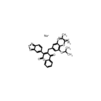 CC(C)Oc1cc(CC(C(=O)c2ccccc2)=C(C(=O)[O-])c2ccc3nsnc3c2)cc(OC(C)C)c1OC(C)C.[Na+]